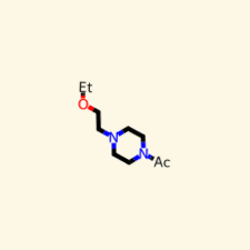 CCOCCN1CCN(C(C)=O)CC1